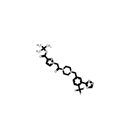 CC(C)(C)OC(=O)c1ccn(CC(=O)N2CCN(Cc3ccc(C(F)(F)F)c(-c4nnco4)c3)CC2)n1